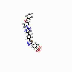 O=C(O)[C@H]1CC[C@H](c2nnc(-c3ccc(-c4cnc(N5CCC(OC6CCCCC6)CC5)nc4)cc3)s2)CC1